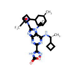 C#Cn1c(N2C(C(F)(F)F)C3CC2(C2CCC[C@H](C)C2)C3)nc2nc(-c3noc(=O)[nH]3)nc(N[C@H](C)C3CCC3)c21